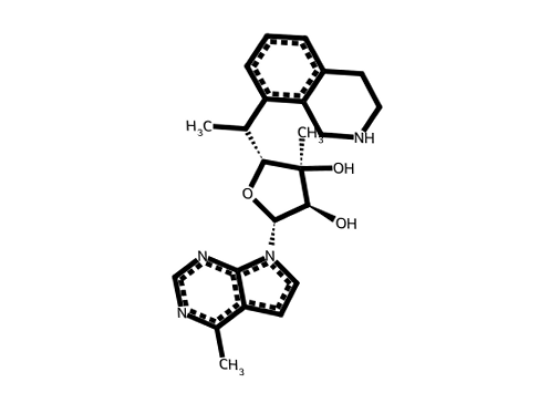 Cc1ncnc2c1ccn2[C@@H]1O[C@H](C(C)c2cccc3c2CNCC3)[C@@](C)(O)[C@H]1O